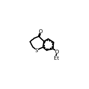 CCOc1ccc2c(c1)SCCCC2=O